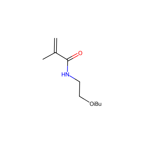 C=C(C)C(=O)NCCOCC(C)C